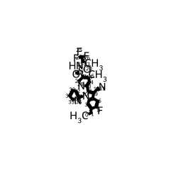 CCc1cc2c(cc1F)c(C#N)c(-c1cc(C)c(S(=O)(=O)N[C@@H](C)C(F)(F)F)cn1)n2-c1ccccn1